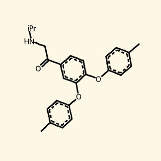 Cc1ccc(Oc2ccc(C(=O)CNC(C)C)cc2Oc2ccc(C)cc2)cc1